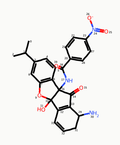 CC(C)c1ccc2c(c1)OC1(O)C3=C(C(=O)C21NC(=O)c1ccc([N+](=O)[O-])cc1)C(N)CC=C3